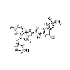 Cn1cc(C(=O)Nc2cc(Cl)cc(NS(C)(=O)=O)c2)cc1-c1ncc(F)cc1OCc1cncc(Cl)c1